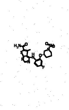 Cc1c(C(N)=O)sc2ncnc(Nc3ccc(F)cc3O[C@H]3CCCN([SH](=O)=O)C3)c12